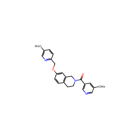 COc1ccc(COc2ccc3c(c2)CN(C(=O)c2cncc(OC)c2)CC3)nc1